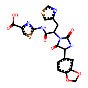 O=C(O)c1csc(NC(=O)C(Cc2cscn2)N2C(=O)NC(c3ccc4c(c3)OCO4)C2=O)n1